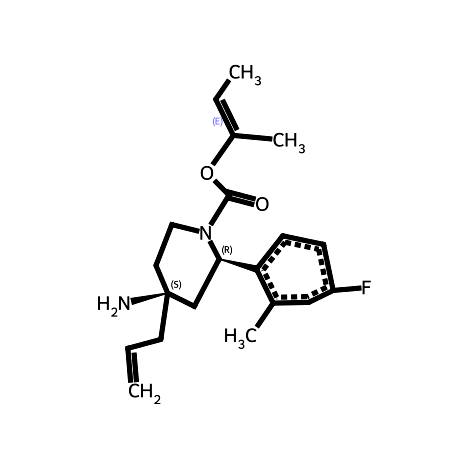 C=CC[C@]1(N)CCN(C(=O)O/C(C)=C/C)[C@@H](c2ccc(F)cc2C)C1